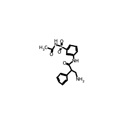 CC(=O)NS(=O)(=O)c1cccc(NC(=O)C(CN)c2ccccc2)c1